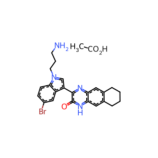 CC(=O)O.NCCCn1cc(-c2nc3cc4c(cc3[nH]c2=O)CCCC4)c2cc(Br)ccc21